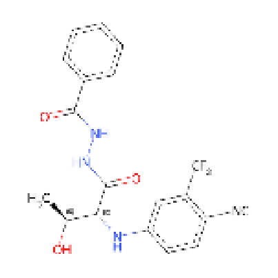 [C-]#[N+]c1ccc(N[C@@H](C(=O)NNC(=O)c2ccccc2)[C@H](C)O)cc1C(F)(F)F